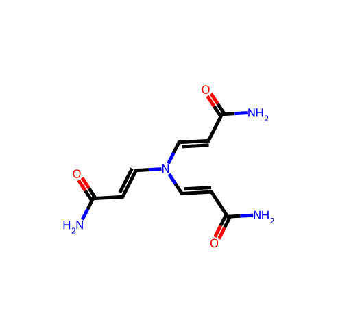 NC(=O)C=CN(C=CC(N)=O)C=CC(N)=O